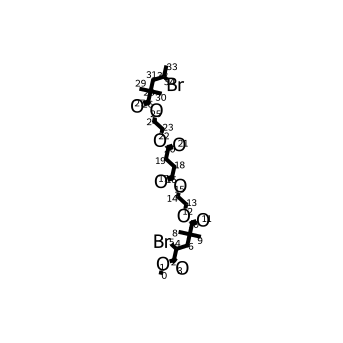 COC(=O)C(Br)CC(C)(C)C(=O)OCCOC(=O)CCC(=O)OCCOC(=O)C(C)(C)CC(C)Br